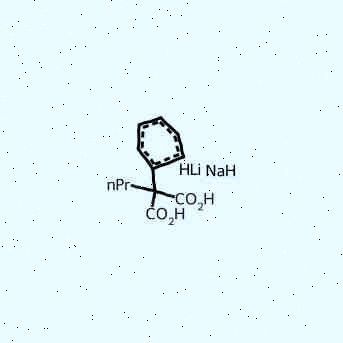 CCCC(C(=O)O)(C(=O)O)c1ccccc1.[LiH].[NaH]